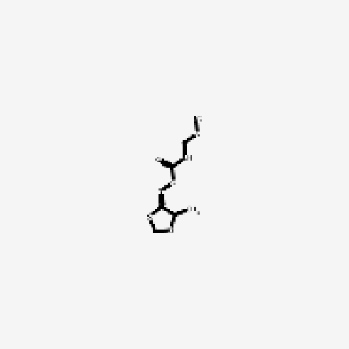 CCSCNC(=O)ON=C1SCOC1C